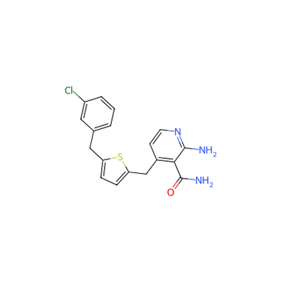 NC(=O)c1c(Cc2ccc(Cc3cccc(Cl)c3)s2)ccnc1N